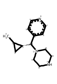 CC1C[C@H]1C(c1ccncc1)N1CCNCC1